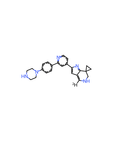 [2H]C1=C2C=C(c3ccnc(-c4ccc(N5CCNCC5)cc4)c3)N=C2C2(CC2)CN1